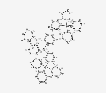 c1ccc(C2(c3ccccc3)c3ccccc3-c3ccc(N(c4ccc(-c5cccc6c5-c5ccccc5C6(c5ccccc5)c5ccccc5)cc4)c4cccc5c4oc4ccccc45)cc32)cc1